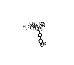 CC(C)(C)OC(=O)Oc1cc(-c2ccc(-c3ccc4c(c3)OCO4)cc2)nn1-c1ncccn1